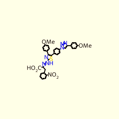 COc1ccc(-c2cn(-c3ccc(-c4sc(NN=C(Cc5ccccc5[N+](=O)[O-])C(=O)O)nc4-c4ccc(OC)cc4)cc3)nn2)cc1